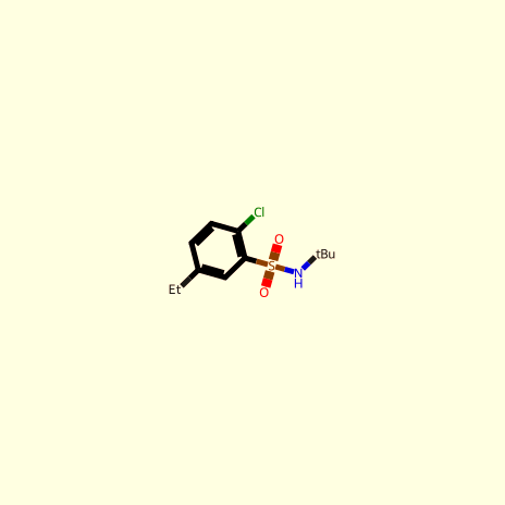 CCc1ccc(Cl)c(S(=O)(=O)NC(C)(C)C)c1